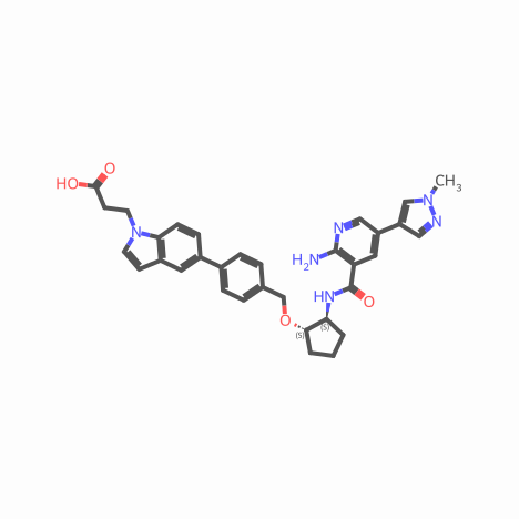 Cn1cc(-c2cnc(N)c(C(=O)N[C@H]3CCC[C@@H]3OCc3ccc(-c4ccc5c(ccn5CCC(=O)O)c4)cc3)c2)cn1